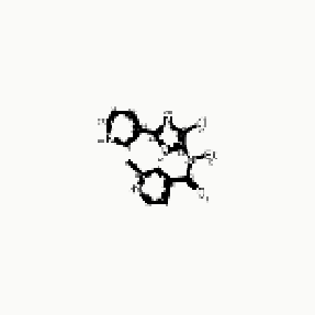 CCN(C(=O)c1ccnc(C)c1)c1sc(-c2cccnc2)nc1Cl